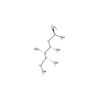 C[C@@H](O)C[C@H](O)[C@@H](O)[C@H](O)CO